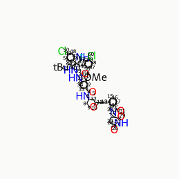 COc1cc(C(=O)NC2CCOC(C#Cc3cccc4c3CN(C3CCC(=O)NC3=O)C4=O)C2)ccc1NC(=O)[C@@H]1N[C@@H](CC(C)(C)C)[C@@]2(CNc3cc(Cl)ccc32)[C@H]1c1cccc(Cl)c1F